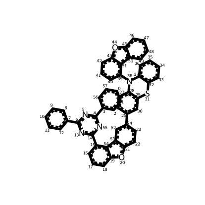 c1ccc(-c2nc(-c3ccccc3)nc(-c3cccc4oc5ccc(-c6ccc7c(c6)Sc6ccccc6N7c6cccc7oc8ccccc8c67)cc5c34)n2)cc1